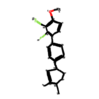 CCOc1ccc(-c2ccc(C3C=C(C)C(C)CC3)cc2)c(F)c1F